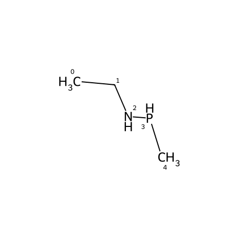 CCNPC